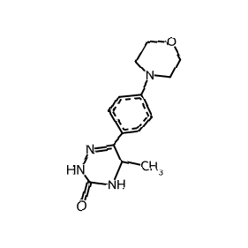 CC1NC(=O)NN=C1c1ccc(N2CCOCC2)cc1